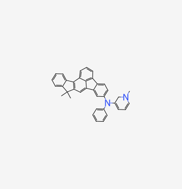 CN1C=CC=C(N(c2ccccc2)c2ccc3c(c2)-c2cc4c(c5cccc-3c25)-c2ccccc2C4(C)C)C1